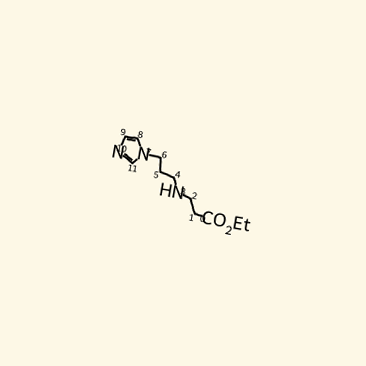 CCOC(=O)CCNCCCn1ccnc1